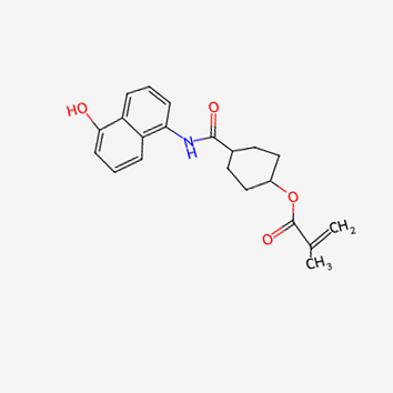 C=C(C)C(=O)OC1CCC(C(=O)Nc2cccc3c(O)cccc23)CC1